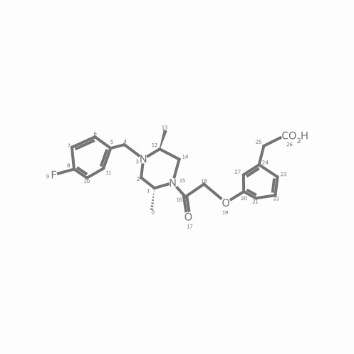 C[C@@H]1CN(Cc2ccc(F)cc2)[C@@H](C)CN1C(=O)COc1cccc(CC(=O)O)c1